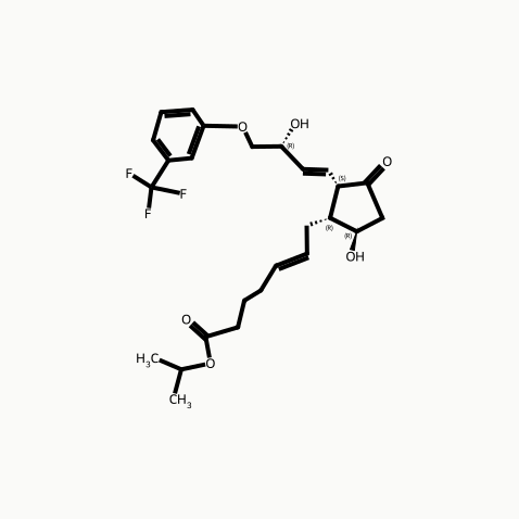 CC(C)OC(=O)CCCC=CC[C@H]1[C@H](O)CC(=O)[C@H]1C=C[C@@H](O)COc1cccc(C(F)(F)F)c1